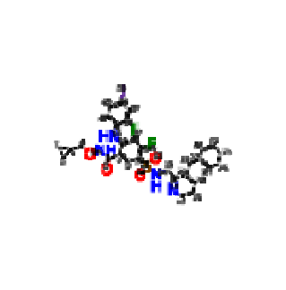 O=C(NOCC1CC1)c1cc(S(=O)(=O)NCc2ncccc2Cc2ccccc2)c(F)c(F)c1Nc1ccc(I)cc1